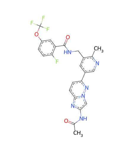 CC(=O)Nc1cn2nc(-c3cnc(C)c(CNC(=O)c4cc(OC(F)(F)F)ccc4F)c3)ccc2n1